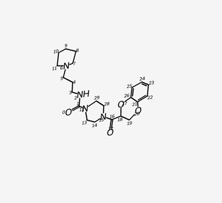 O=C(NCCCN1CCCCC1)N1CCN(C(=O)C2COc3ccccc3O2)CC1